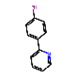 Pc1ccc(-c2ccccn2)cc1